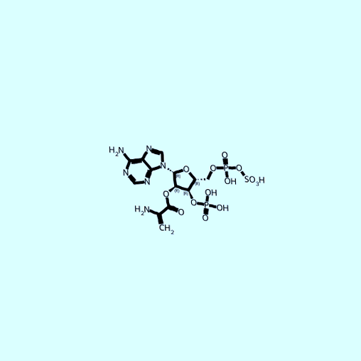 C=C(N)C(=O)O[C@@H]1[C@H](OP(=O)(O)O)[C@@H](COP(=O)(O)OS(=O)(=O)O)O[C@H]1n1cnc2c(N)ncnc21